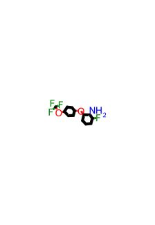 Nc1c(F)cccc1Oc1ccc(OC(F)(F)F)cc1